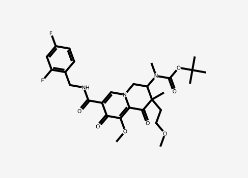 COCCC1(C)C(=O)c2c(OC)c(=O)c(C(=O)NCc3ccc(F)cc3F)cn2CC1N(C)C(=O)OC(C)(C)C